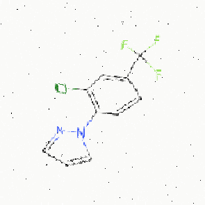 FC(F)(F)c1ccc(-n2cccn2)c(Cl)c1